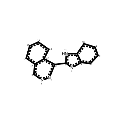 [c]1nnc(-c2nc3ccccc3[nH]2)c2ccccc12